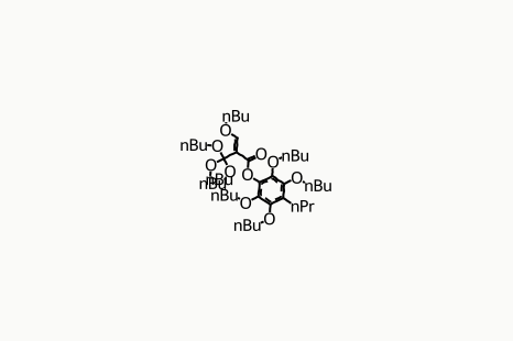 CCCCOC=C(C(=O)Oc1c(OCCCC)c(OCCCC)c(CCC)c(OCCCC)c1OCCCC)C(OCCCC)(OCCCC)OCCCC